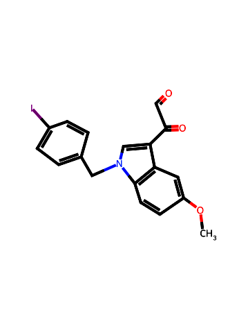 COc1ccc2c(c1)c(C(=O)C=O)cn2Cc1ccc(I)cc1